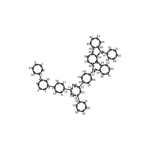 c1ccc(-c2cccc(-c3ccc(-c4nc(-c5ccccc5)cc(-c5ccc(-n6c7ccccc7c7c6ccc6c8ccccc8n(-c8ccccc8)c67)cc5)n4)cc3)c2)cc1